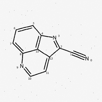 N#CC1=Nc2cccc3nccc1c23